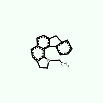 CCN1CCc2ccc3ccc4c(c3c21)-c1ccccc1C4